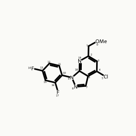 COCc1cc(Cl)c2cnn(-c3ccc(F)cc3F)c2n1